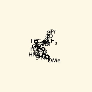 C=C[C@@H]1C[C@]1(NC(=O)[C@@H]1C[C@@H](Oc2cc(-c3csc(NC(C)C)n3)nc3cc(OC)ccc23)CC1C(=O)[C@@H](NC(=O)OC1CCCC1)C(C)(C)C)P(C)(=O)OCOC(=O)OC(C)C